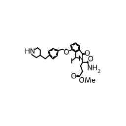 COC(=O)CCC(C(N)=O)N1C(=O)c2cccc(OCc3ccc(CC4CCNCC4)cc3)c2C1I